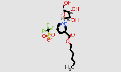 CCCCCCOC(=O)c1ccc[n+]([C@@H]2O[C@H](CO)[C@H](O)[C@@H]2O)c1.O=S(=O)([O-])C(F)(F)F